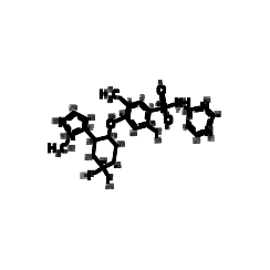 Cc1cc(S(=O)(=O)Nc2ccncn2)c(F)cc1OC1CCC(F)(F)CC1c1ccnn1C